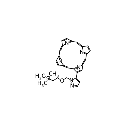 C[Si](C)(C)CCOCn1nccc1C1=CC2=CC3=NC(=CC4=NC(=CC5=NC(=CC1=N2)C=C5)C=C4)C=C3